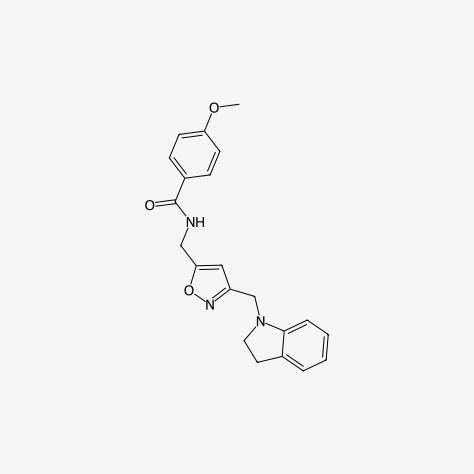 COc1ccc(C(=O)NCc2cc(CN3CCc4ccccc43)no2)cc1